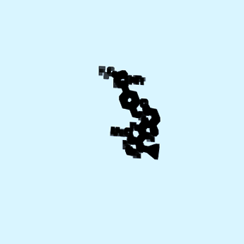 COc1ncnc(C2CC2)c1-c1ncc2ccc(=O)n(Cc3ccc(-c4nc(C(F)(F)F)cn4C(C)C)cc3)c2c1F